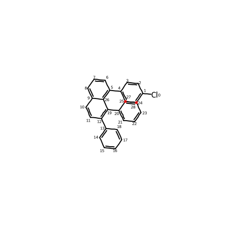 Clc1ccc(-c2cccc3ccc(-c4ccccc4)c(-c4ccccc4)c23)cc1